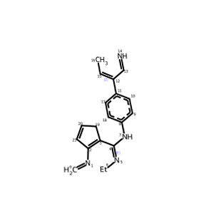 C=NC1=C(/C(=N\CC)Nc2ccc(/C(C=N)=C/C)cc2)CC=C1